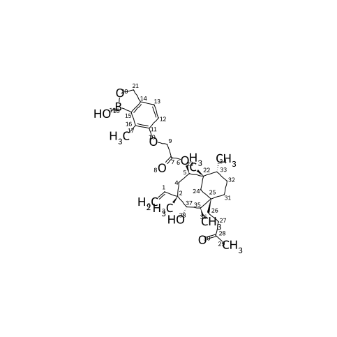 C=C[C@]1(C)C[C@@H](OC(=O)COc2ccc3c(c2C)B(O)OC3)[C@@]2(C)C[C@](CCC(C)=O)(CC[C@H]2C)[C@@H](C)[C@@H]1O